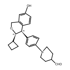 O=CC1CCN(c2ccc([C@@H]3c4ccc(O)cc4CO[C@@H]3C3CCC3)cc2)CC1